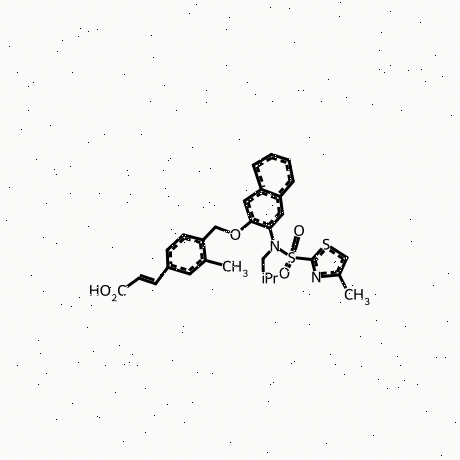 Cc1csc(S(=O)(=O)N(CC(C)C)c2cc3ccccc3cc2OCc2ccc(C=CC(=O)O)cc2C)n1